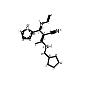 C=C/N=C(\C(C#N)=C(/C)NCC1CCCC1)c1ccco1